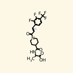 CC(NC(=O)C1CCN(C(=O)/C=C/c2ccc(C(F)(F)F)c(F)c2F)CC1)C(=O)O